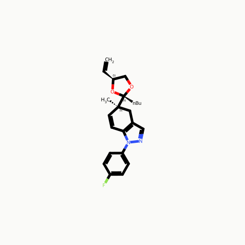 C=C[C@H]1CO[C@](CCCC)([C@]2(C)C=Cc3c(cnn3-c3ccc(F)cc3)C2)O1